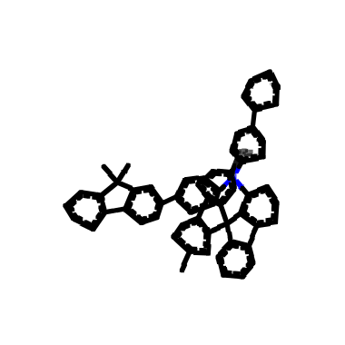 Cc1ccc2c(c1)C1(c3cc(C(C)(C)C)ccc3-2)c2ccccc2-c2cccc(N(c3ccc(-c4ccccc4)cc3)c3ccc(-c4ccc5c(c4)C(C)(C)c4ccccc4-5)cc3)c21